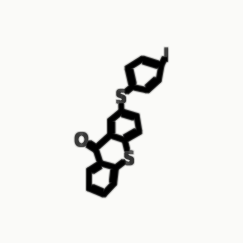 O=c1c2ccccc2sc2ccc(Sc3ccc(I)cc3)cc12